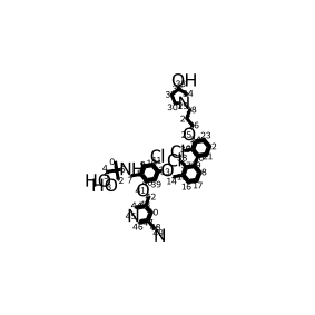 CC(CO)(CO)NCc1cc(Cl)c(OCc2cccc(-c3cccc(OCCCN4CCC(O)C4)c3Cl)c2Cl)cc1OCc1cncc(C#N)c1